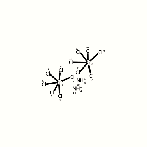 [Cl][Ir-]([Cl])([Cl])([Cl])([Cl])[Cl].[Cl][Ir-]([Cl])([Cl])([Cl])([Cl])[Cl].[NH4+].[NH4+]